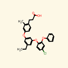 CCc1cc(Oc2ccc(CCC(=O)O)c(C)c2)cc(Oc2ccc(Cl)cc2Oc2ccccc2)c1